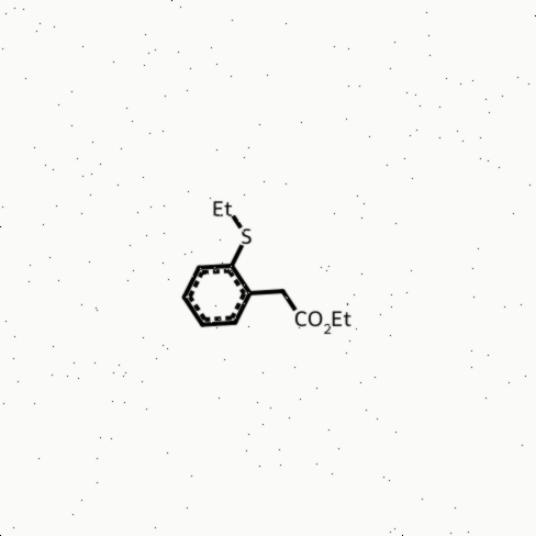 CCOC(=O)Cc1ccccc1SCC